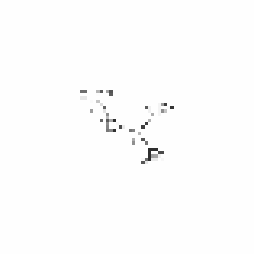 CCC(OC(F)(F)F)C(C)C